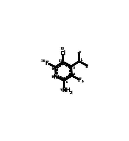 CC(C)c1c(F)c(N)nc(F)c1Cl